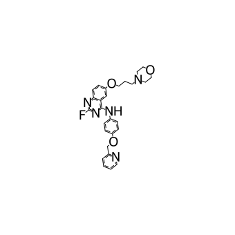 Fc1nc(Nc2ccc(OCc3ccccn3)cc2)c2cc(OCCCN3CCOCC3)ccc2n1